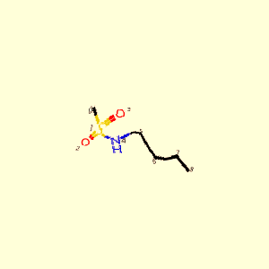 [CH2]S(=O)(=O)NCCCC